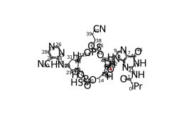 CC(C)C(=O)Nc1nc2c(ncn2[C@@H]2O[C@@H]3COP(=O)(S)O[C@H]4C[C@H](Nc5ncncc5C#N)C[C@@H]4COP(=S)(OCCC#N)O[C@@H]2[C@@H]3C)c(=O)[nH]1